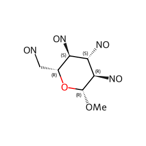 CO[C@@H]1O[C@H](CN=O)[C@@H](N=O)[C@H](N=O)[C@H]1N=O